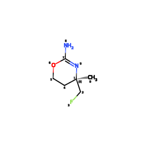 C[C@]1(CF)CCOC(N)=N1